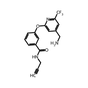 C#CCNC(=O)c1cccc(Oc2cc(CN)cc(C(F)(F)F)n2)c1